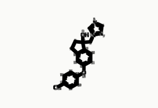 OC1(Cn2cncn2)CCc2cc(Oc3ccc(Cl)cc3)ccc21